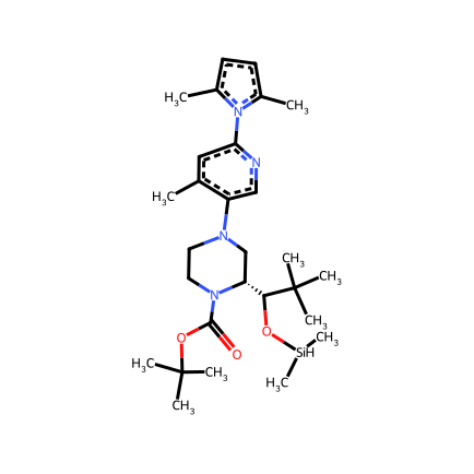 Cc1cc(-n2c(C)ccc2C)ncc1N1CCN(C(=O)OC(C)(C)C)[C@@H](C(O[SiH](C)C)C(C)(C)C)C1